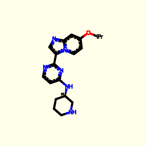 CC(C)Oc1ccn2c(-c3nccc(N[C@@H]4CCCNC4)n3)cnc2c1